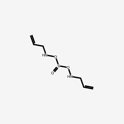 C=CCNO[Si](=O)ONCC=C